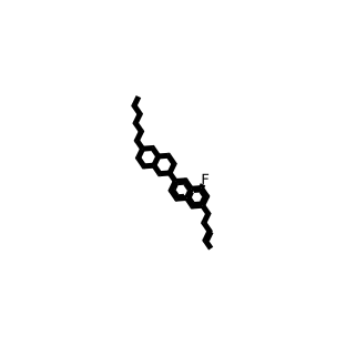 CC=CCCc1cc(F)c2cc(C3CCC4CC(CCCCCC)CCC4C3)ccc2c1